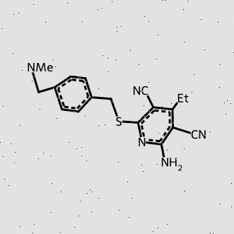 CCc1c(C#N)c(N)nc(SCc2ccc(CNC)cc2)c1C#N